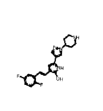 Oc1[nH]c(-c2cnn(C3CCNCC3)c2)cc1C=Cc1cc(F)ccc1F